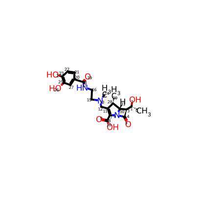 C[C@@H](O)[C@H]1C(=O)N2C(C(=O)O)=C(CN(C)CCNC(=O)c3ccc(O)c(O)c3)[C@H](C)[C@H]12